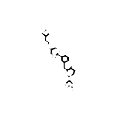 Cn1cc(-n2ccc(=O)c(Cc3cccc(-c4ncc(OCCc5cnoc5)cn4)c3)n2)cn1